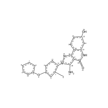 Cc1cc(Oc2ccccc2)ccc1-n1nc2c(c1N)c(=O)[nH]c1cc(O)ccc12